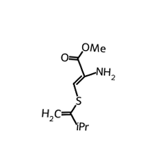 C=C(S/C=C(\N)C(=O)OC)C(C)C